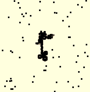 [C-]#[N+]CCOP(O[C@@H]1C[C@@H](CC)N(CCCCCCN2C(=O)c3ccccc3C2=O)C1)N(C(C)C)C(C)C